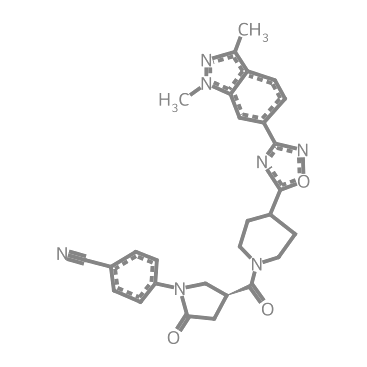 Cc1nn(C)c2cc(-c3noc(C4CCN(C(=O)[C@H]5CC(=O)N(c6ccc(C#N)cc6)C5)CC4)n3)ccc12